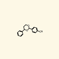 N#Cc1ccc(C2OCCC(c3ccccc3)O2)cc1